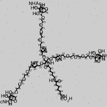 CC(=O)N[C@H]1[C@H]2OC[C@@](COCCOCCOCCOCCn3cc(COCC(COCc4cn(CCOCCOCCOCCOC[C@]56CO[C@@H](O5)[C@H](NC(C)=O)[C@@H](O)[C@H]6O)nn4)(COCc4cn(CCOCCOCCOCCOC[C@]56CO[C@@H](O5)[C@H](NC(C)=O)[C@@H](O)[C@H]6O)nn4)NC(=O)CCCCCNC(=O)CCCCCNC(=O)O)nn3)(O2)[C@H](O)[C@@H]1O